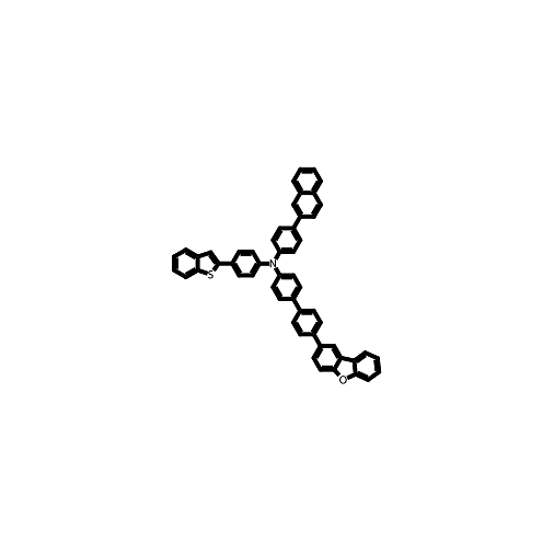 c1ccc2cc(-c3ccc(N(c4ccc(-c5ccc(-c6ccc7oc8ccccc8c7c6)cc5)cc4)c4ccc(-c5cc6ccccc6s5)cc4)cc3)ccc2c1